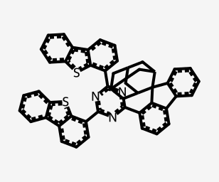 c1ccc2c(c1)-c1cccc(-c3nc(-c4cccc5c4sc4ccccc45)nc(-c4cccc5c4sc4ccccc45)n3)c1C21C2CC3CC(C2)CC1C3